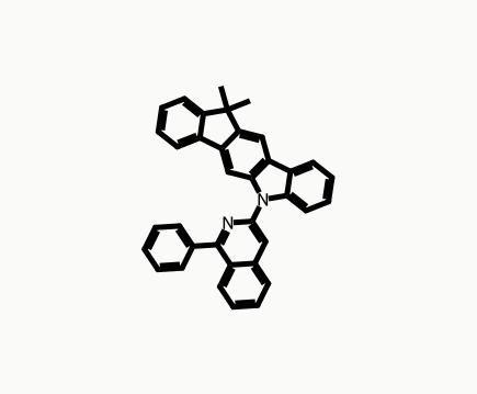 CC1(C)c2ccccc2-c2cc3c(cc21)c1ccccc1n3-c1cc2ccccc2c(-c2ccccc2)n1